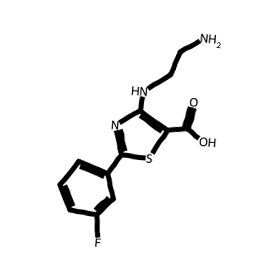 NCCNc1nc(-c2cccc(F)c2)sc1C(=O)O